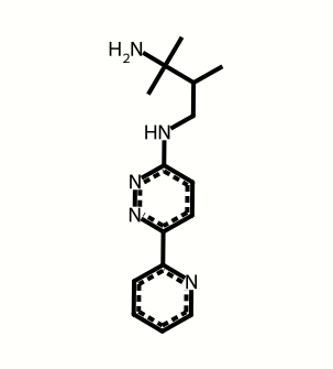 CC(CNc1ccc(-c2ccccn2)nn1)C(C)(C)N